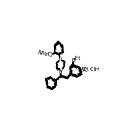 CCOc1cccc(CC(c2ccccc2)N2CCN(c3ccccc3OC)CC2)c1.Cl.Cl.O